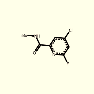 CC[C@H](C)NC(=O)c1cc(Cl)cc(F)n1